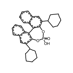 O=P1(O)Oc2c(C3CCCCC3)cc3ccccc3c2-c2c(c(C3CCCCC3)cc3ccccc23)O1